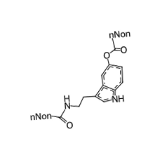 CCCCCCCCCC(=O)NCCc1c[nH]c2ccc(OC(=O)CCCCCCCCC)cc12